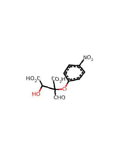 O=CC(Oc1ccc([N+](=O)[O-])cc1)(C(=O)O)C(O)C(=O)O